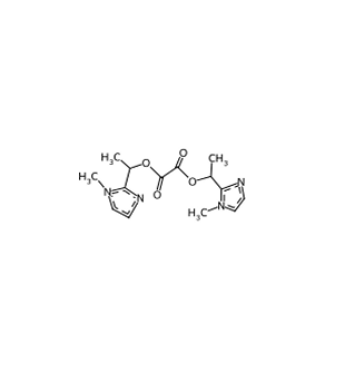 CC(OC(=O)C(=O)OC(C)c1nccn1C)c1nccn1C